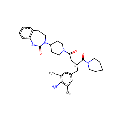 Nc1c(C(F)(F)F)cc(C[C@@H](CC(=O)N2CCC(N3CCc4ccccc4NC3=O)CC2)C(=O)N2CCCCC2)cc1C(F)(F)F